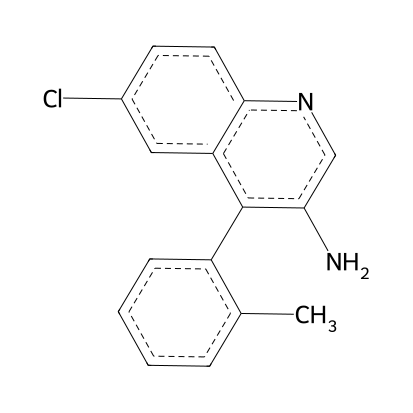 Cc1ccccc1-c1c(N)cnc2ccc(Cl)cc12